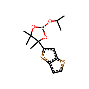 CC(C)OB1OC(C)(C)C(C)(c2cc3sccc3s2)O1